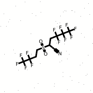 N#CC(CC(F)(F)C(F)(F)C(F)(F)F)S(=O)(=O)CCC(F)(F)C(F)(F)F